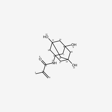 C=C(C)C(=O)NC12CC3(O)CC(O)(CC(O)(C3)C1)C2